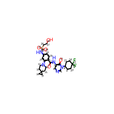 O=C(Nc1cncn(C2CCC(F)(F)CC2)c1=O)c1ccc(NS(=O)(=O)CCO)cc1N1CCC2(CC1)CC2